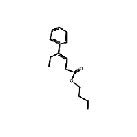 CCCCOC(=O)CC=C(CC)c1ccccc1